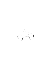 C1=CCC(C2=CC=CC2)=C1.[Au]